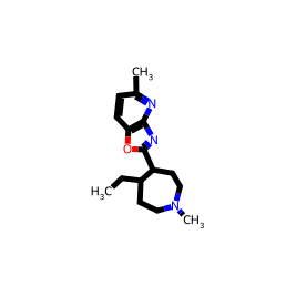 CCC1CCN(C)CCC1c1nc2nc(C)ccc2o1